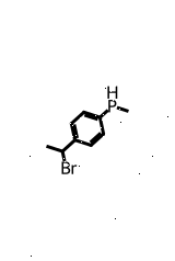 CPc1ccc(C(C)Br)cc1